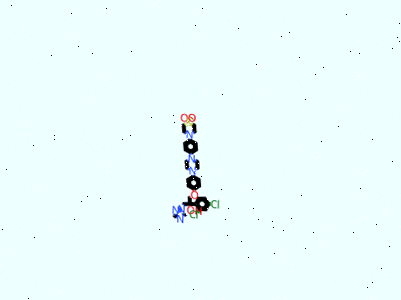 O=S1(=O)CCN(c2ccc(N3CCN(c4ccc(OCC(O)(Cn5cncn5)c5ccc(Cl)cc5Cl)cc4)CC3)cc2)CC1